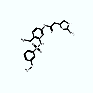 COc1cccc(S(=O)(=O)Nc2cc(NC(=O)CC3CNC(C)S3)ccc2CN)c1